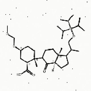 COCO[C@H]1CC[C@](C)(C2CC[C@]3(C)C(C(C)CO[Si](C(C)C)(C(C)C)C(C)C)CC[C@H]3C2=O)[C@@H](C(=O)O)C1